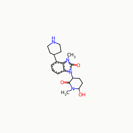 CN1C(=O)C(n2c(=O)n(C)c3c(C4CCNCC4)cccc32)CCC1O